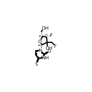 O=c1[nH]c(=S)ccn1[C@@H]1O[C@H](CO)[C@H](F)C1(O)CF